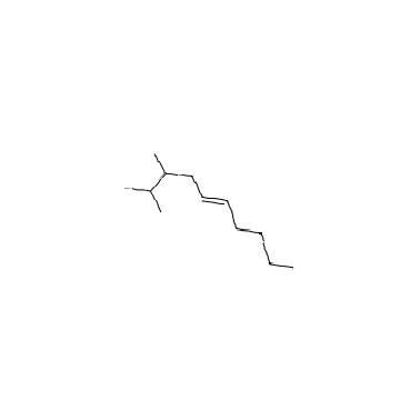 CCCCC=CCC(C)C(C)C